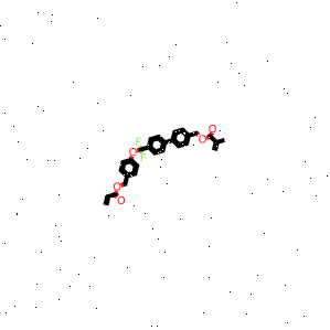 C=CC(=O)OCc1ccc(OC(F)(F)c2ccc(-c3ccc(COC(=O)C(=C)C)cc3)cc2)cc1